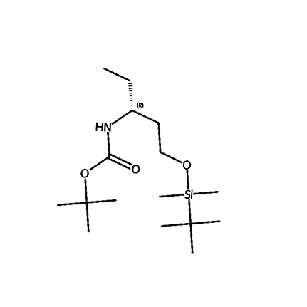 CC[C@H](CCO[Si](C)(C)C(C)(C)C)NC(=O)OC(C)(C)C